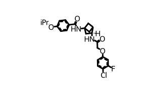 CC(C)Oc1ccc(C(=O)NC23CC(C2)[C@@H](NC(=O)COc2ccc(Cl)c(F)c2)C3)cc1